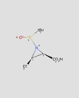 CC[C@@H]1[C@H](C(=O)O)N1[S+]([O-])C(C)(C)C